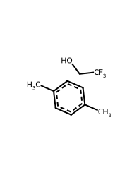 Cc1ccc(C)cc1.OCC(F)(F)F